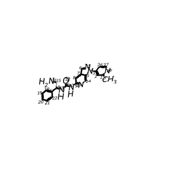 Cc1cc(-n2ncc3cc(NC(=O)N[C@@H](CN)c4ccccc4)ncc32)ccn1